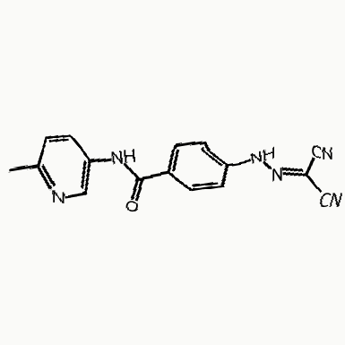 Cc1ccc(NC(=O)c2ccc(NN=C(C#N)C#N)cc2)cn1